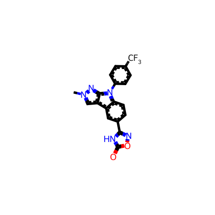 Cn1cc2c3cc(-c4noc(=O)[nH]4)ccc3n(-c3ccc(C(F)(F)F)cc3)c2n1